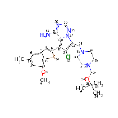 COc1cc(C)cc2cc(-c3c(Cl)c(CN4CCN(COC(C)(C)C)CC4)n4ncnc(N)c34)sc12